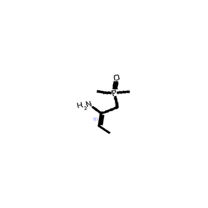 C/C=C(/N)CP(C)(C)=O